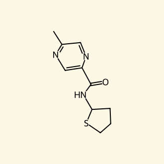 Cc1cnc(C(=O)NC2CCCS2)cn1